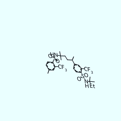 CCC(C)(C)NS(=O)(=O)c1ccc(C(C)CCC(C)(C)NS(=O)(=O)c2ccc(C)cc2C(F)(F)F)cc1C(F)(F)F